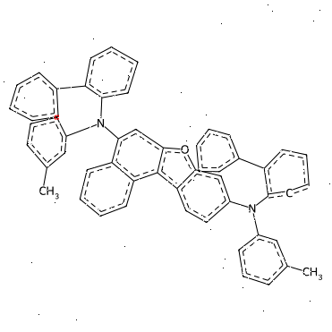 Cc1cccc(N(c2ccc3c(c2)oc2cc(N(c4cccc(C)c4)c4ccccc4-c4ccccc4)c4ccccc4c23)c2ccccc2-c2ccccc2)c1